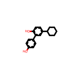 Oc1ccc(-c2cc(C3CCCCC3)ccc2O)cc1